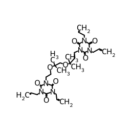 C=CCn1c(=O)n(CC=C)c(=O)n(CCOC(C)(C)COC(C)(C)CCn2c(=O)n(CC=C)c(=O)n(CC=C)c2=O)c1=O